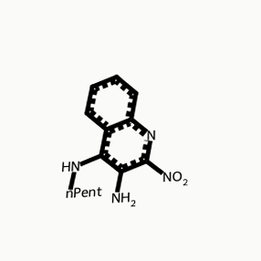 CCCCCNc1c(N)c([N+](=O)[O-])nc2ccccc12